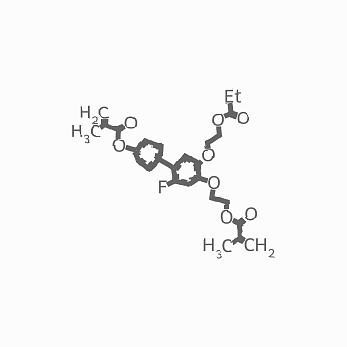 C=C(C)C(=O)OCCOc1cc(F)c(-c2ccc(OC(=O)C(=C)C)cc2)cc1OCCOC(=O)CC